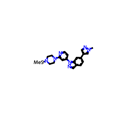 CSN1CCN(c2cc(-n3ncc4ccc(-c5cnn(C)c5)cc43)ccn2)CC1